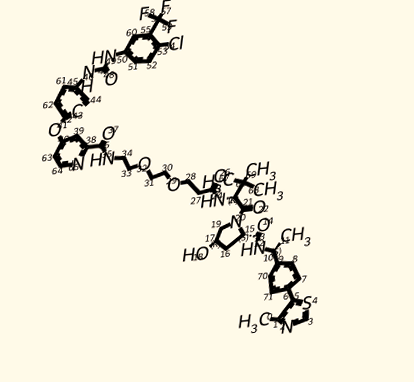 Cc1ncsc1-c1ccc([C@H](C)NC(=O)[C@@H]2C[C@@H](O)CN2C(=O)[C@H](NC(=O)CCOCCOCCNC(=O)c2cc(Oc3ccc(NC(=O)Nc4ccc(Cl)c(C(F)(F)F)c4)cc3)ccn2)C(C)(C)C)cc1